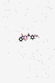 O=C(ON1C(=O)c2ccccc2C1=O)[C@H]1C[C@@H]1c1cccc(OC(F)(F)F)c1